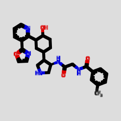 O=C(CNC(=O)c1cccc(C(F)(F)F)c1)N[C@H]1CNCC1C1CCC(O)C(c2ncccc2-c2ncco2)C1